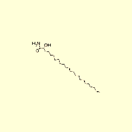 CCCCCCCCCCCCCCCCCCCCCCC(O)C(N)=O